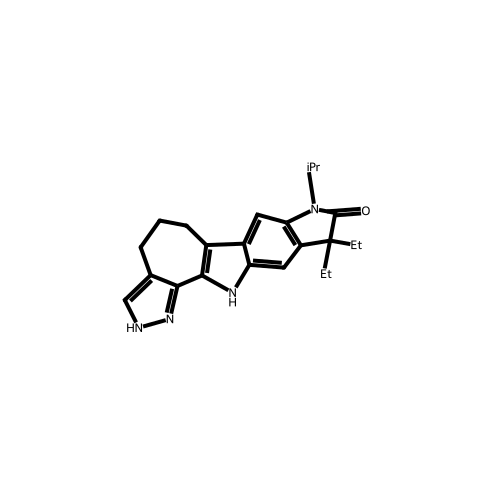 CCC1(CC)C(=O)N(C(C)C)c2cc3c4c([nH]c3cc21)-c1n[nH]cc1CCC4